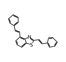 C(=Cc1nc2c(C=Cc3ccccc3)cccc2s1)c1ccccc1